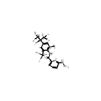 CNc1cccc(C(=O)Nc2c(Br)cc(C(F)(C(F)(F)F)C(F)(F)F)cc2C(F)(F)F)n1